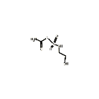 NC(=O)NS(=O)(=O)NCCO